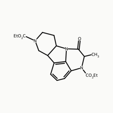 CCOC(=O)N1CCC2C(C1)c1cccc3c1N2C(=O)C(C)N3C(=O)OCC